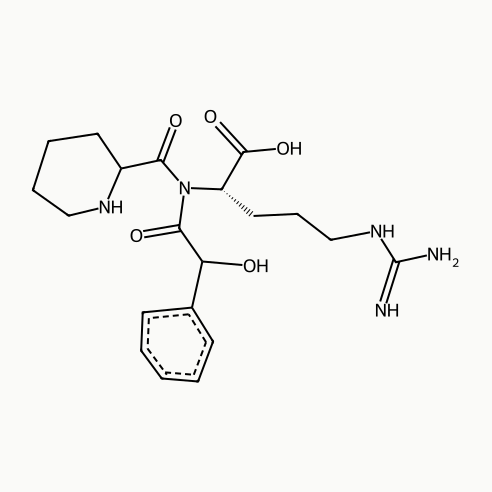 N=C(N)NCCC[C@@H](C(=O)O)N(C(=O)C1CCCCN1)C(=O)C(O)c1ccccc1